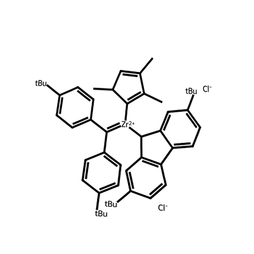 CC1=CC(C)[C]([Zr+2](=[C](c2ccc(C(C)(C)C)cc2)c2ccc(C(C)(C)C)cc2)[CH]2c3cc(C(C)(C)C)ccc3-c3ccc(C(C)(C)C)cc32)=C1C.[Cl-].[Cl-]